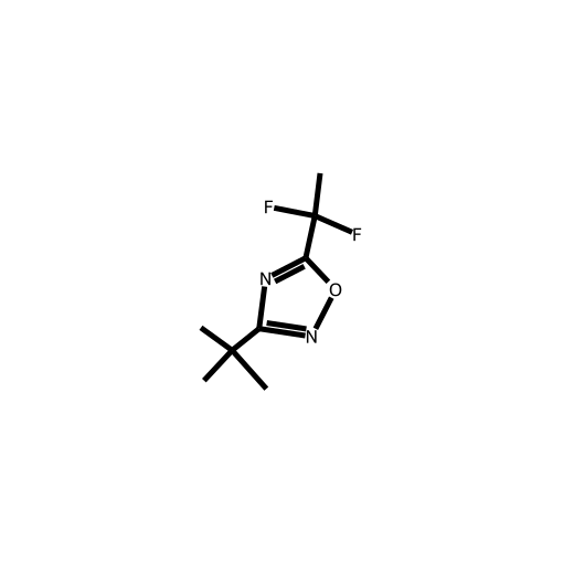 CC(C)(C)c1noc(C(C)(F)F)n1